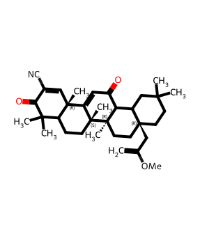 C=C(C[C@]12CCC(C)(C)CC1C1C(=O)C=C3[C@@]4(C)C=C(C#N)C(=O)C(C)(C)C4CC[C@@]3(C)[C@]1(C)CC2)OC